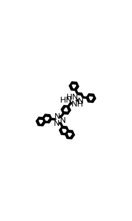 N=C(NC1N=C(c2ccccc2)C=C(c2ccccc2)N1)c1ccc(-c2nc(-c3ccc4ccccc4c3)nc(-c3ccc4ccccc4c3)n2)cc1